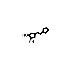 N#CC1CC(CCC2CCCC2)CC1C#N